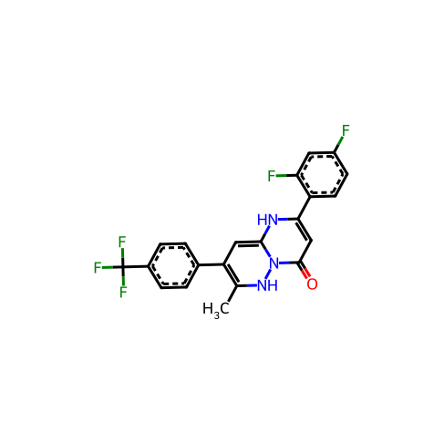 CC1=C(c2ccc(C(F)(F)F)cc2)C=C2NC(c3ccc(F)cc3F)=CC(=O)N2N1